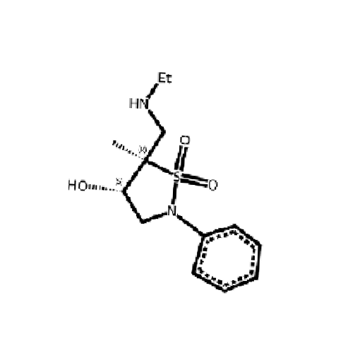 CCNC[C@]1(C)[C@@H](O)CN(c2ccccc2)S1(=O)=O